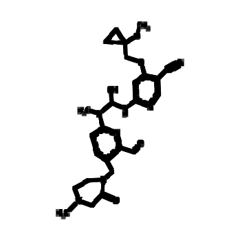 COC1(COc2cc(NC(O)N(C)c3ccc(CN4CCN(C)CC4=O)c(C=O)n3)ncc2C#N)CC1